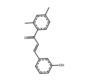 Cc1ccc(C(=O)/C=C/c2cccc(O)c2)c(C)c1